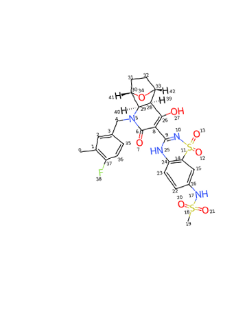 Cc1cc(CN2C(=O)C(C3=NS(=O)(=O)c4cc(NS(C)(=O)=O)ccc4N3)=C(O)[C@H]3[C@@H]2[C@@H]2CC[C@H]3O2)ccc1F